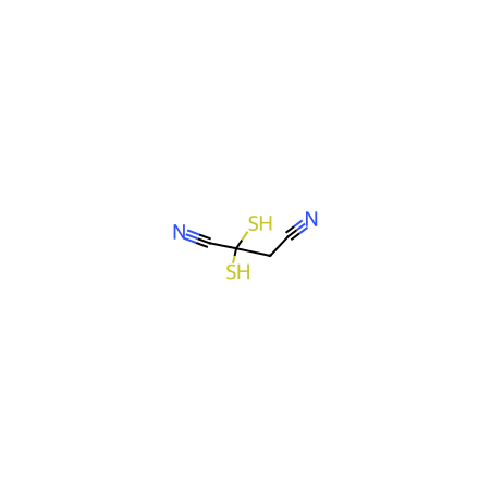 N#CCC(S)(S)C#N